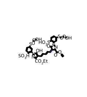 C#COC(=O)C1=NN(c2cc(SOOO)ccc2S(=O)(=O)O)C(=O)/C1=C\C=CC=Cc1c(C(=O)OCC)nn(-c2cc(SOOO)ccc2S(=O)(=O)O)c1O